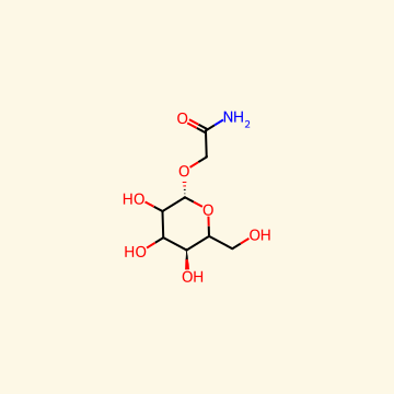 NC(=O)CO[C@@H]1OC(CO)[C@@H](O)C(O)C1O